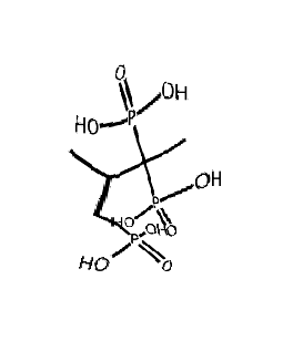 CC(CP(=O)(O)O)C(C)(P(=O)(O)O)P(=O)(O)O